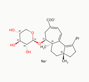 CC(C)C1=C2C3=CC=C(C(=O)[O-])C[C@H](O[C@@H]4OC[C@@H](O)[C@H](O)[C@H]4O)[C@]3(C)CC[C@@]2(C)CC1.[Na+]